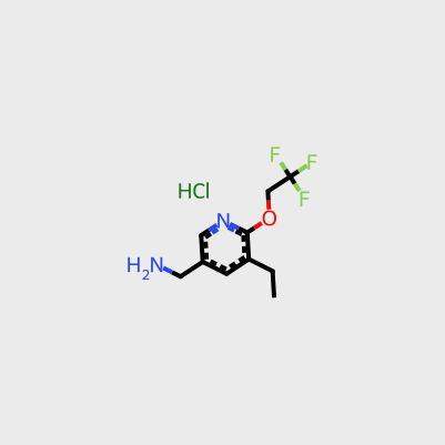 CCc1cc(CN)cnc1OCC(F)(F)F.Cl